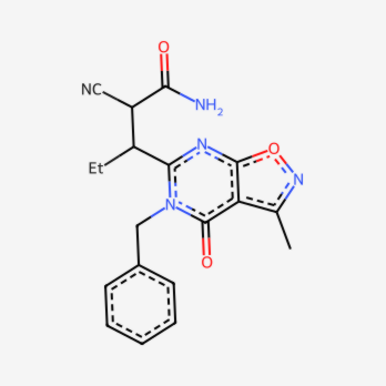 CCC(c1nc2onc(C)c2c(=O)n1Cc1ccccc1)C(C#N)C(N)=O